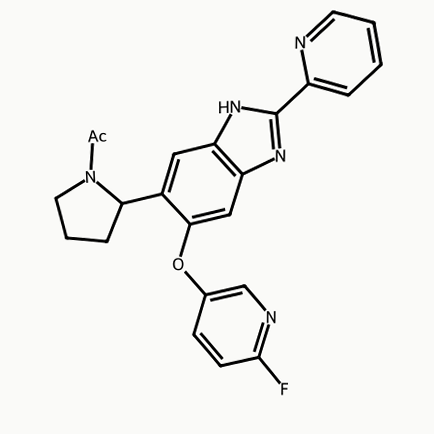 CC(=O)N1CCCC1c1cc2[nH]c(-c3ccccn3)nc2cc1Oc1ccc(F)nc1